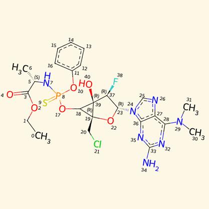 CCOC(=O)[C@H](C)NP(=S)(Oc1ccccc1)OC1[C@@]2(CCl)O[C@@H](n3cnc4c(N(C)C)nc(N)nc43)[C@H](F)[C@@]12O